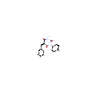 Cc1cc(/C=C2/C(=O)N(C)C(=O)N(c3ccc(Cl)cc3)C2=O)cc(C)c1O